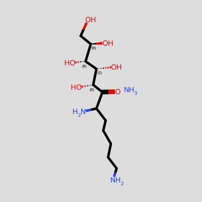 N.NCCCCCC(N)C(=O)[C@H](O)[C@@H](O)[C@H](O)[C@H](O)CO